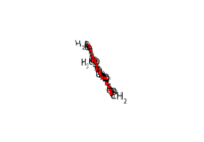 C=CC(=O)OCCCCCCOc1ccc(C(=O)Oc2ccc(CCOC(=O)c3ccc(OCCCCCCOC(=O)C=C)c(C)c3)cc2)cc1